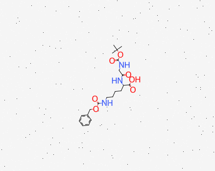 CC(C)(C)OC(=O)NCC(=O)NC(CCCCNC(=O)OCc1ccccc1)C(=O)O